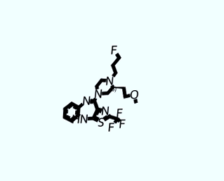 COCC[C@H]1CN(C2=Nc3ccccc3Nc3sc(C(F)(F)F)nc32)CCN1CCCF